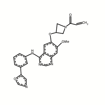 C=CC(=O)N1CC(Oc2cc3c(Nc4cccc(-c5cnco5)c4)ncnc3cc2OC)C1